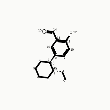 CC[C@@H]1CCCC[C@H]1c1ccc(F)c(C=O)c1